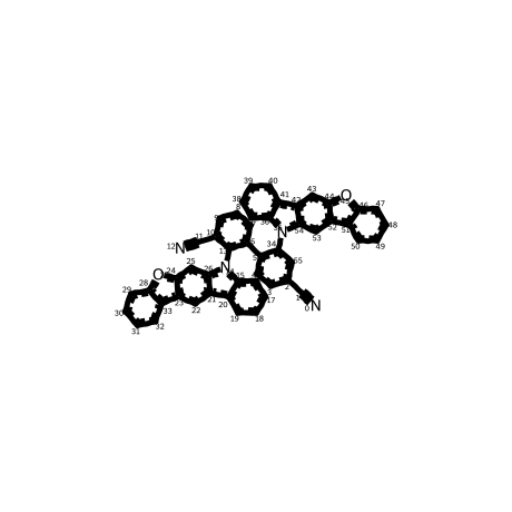 N#Cc1ccc(-c2cccc(C#N)c2-n2c3ccccc3c3cc4c(cc32)oc2ccccc24)c(-n2c3ccccc3c3cc4oc5ccccc5c4cc32)c1